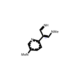 CN/C=C(\C=N)c1ccc(NC)cn1